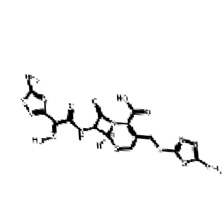 Cc1nnc(SCC2=C(C(=O)O)N3C(=O)C(NC(=O)C(=NO)c4nsc(N)n4)[C@@H]3SC2)s1